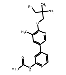 COC(=O)Nc1cc(-c2cnc(OCC(C)(N)CC(C)C)c(C)c2)ccn1